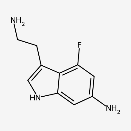 NCCc1c[nH]c2cc(N)cc(F)c12